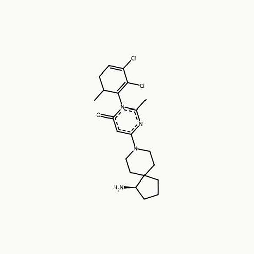 Cc1nc(N2CCC3(CCC[C@H]3N)CC2)cc(=O)n1C1=C(Cl)C(Cl)=CCC1C